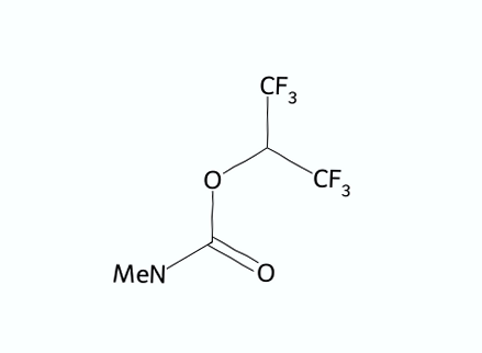 CNC(=O)OC(C(F)(F)F)C(F)(F)F